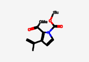 C=C(C)c1ccn(C(=O)OC(C)(C)C)c1C(=O)OC